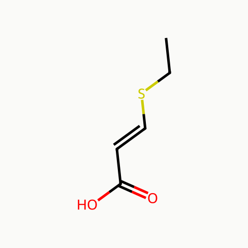 CCSC=CC(=O)O